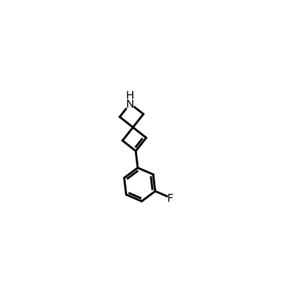 Fc1cccc(C2=CC3(CNC3)C2)c1